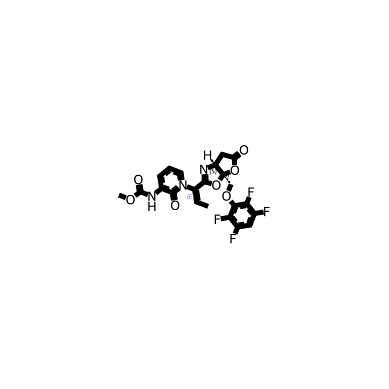 C/C=C(\C1=N[C@H]2CC(=O)O[C@@]2(COc2c(F)c(F)cc(F)c2F)O1)n1cccc(NC(=O)OC)c1=O